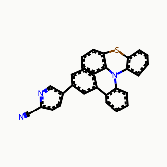 N#Cc1ccc(-c2cccc(-c3ccccc3N3c4ccccc4Sc4ccccc43)c2)cn1